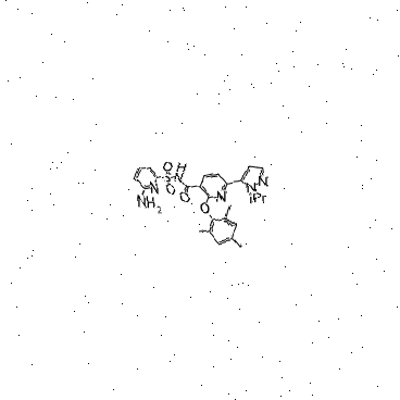 Cc1cc(C)c(Oc2nc(-c3ccnn3C(C)C)ccc2C(=O)NS(=O)(=O)c2cccc(N)n2)c(C)c1